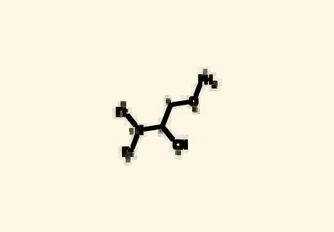 CCN(CC)C(C#N)COP